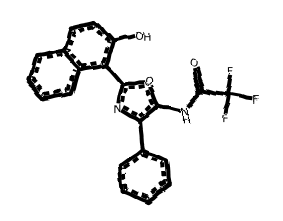 O=C(Nc1oc(-c2c(O)ccc3ccccc23)nc1-c1ccccc1)C(F)(F)F